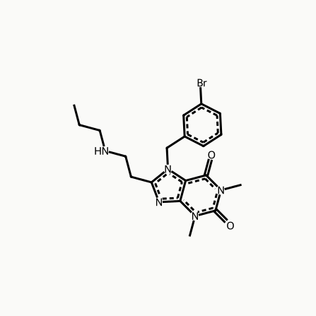 CCCNCCc1nc2c(c(=O)n(C)c(=O)n2C)n1Cc1cccc(Br)c1